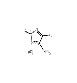 Cc1nn(C)cc1N.Cl